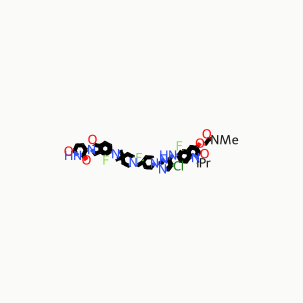 CNC(=O)COc1cc2c(F)c(Nc3nc(N4CCC(F)(CN5CCC6(CC5)CN(c5ccc7c(c5F)CN(C5CCC(=O)NC5=O)C7=O)C6)CC4)ncc3Cl)ccc2n(C(C)C)c1=O